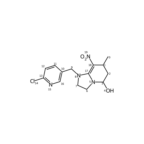 CC1CC(O)N2CCN(Cc3ccc(Cl)nc3)C2=C1[N+](=O)[O-]